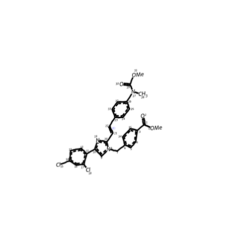 COC(=O)c1ccc(Cn2cc(-c3ccc(Cl)cc3Cl)nc2/C=C/c2ccc(N(C)C(=O)OC)cc2)cc1